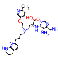 Cc1ccc(OCCN(CCCCc2ccc3c(n2)NCCC3)CC[C@H](Nc2ncnc(C=N)c2N)C(=O)O)cn1